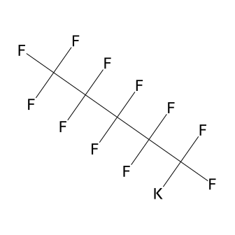 FC(F)(F)C(F)(F)C(F)(F)C(F)(F)[C](F)(F)[K]